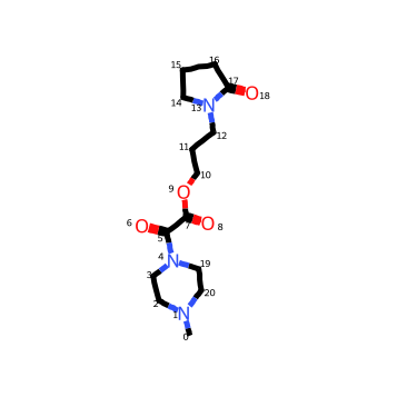 CN1CCN(C(=O)C(=O)OCCCN2CCCC2=O)CC1